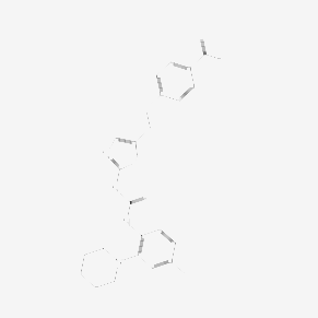 Cc1ccc(NC(=O)Nc2ncc(COc3ccc(C(=O)O)cc3)s2)c(N2CCCCC2)c1